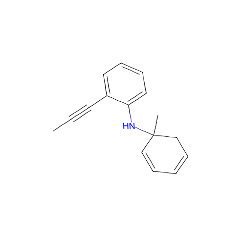 CC#Cc1ccccc1NC1(C)C=CC=CC1